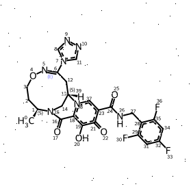 C[C@H]1CCO/N=C(/n2cnnc2)C[C@H]2CN1C(=O)c1c(O)c(=O)c(C(=O)NCc3c(F)cc(F)cc3F)cn12